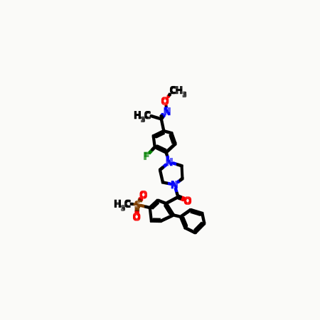 CO/N=C(\C)c1ccc(N2CCN(C(=O)c3cc(S(C)(=O)=O)ccc3-c3ccccc3)CC2)c(F)c1